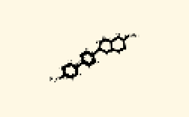 CCCCC1CCC2CC(c3ccc(-c4ccc(C(F)(F)F)cc4)cc3)CCC2C1